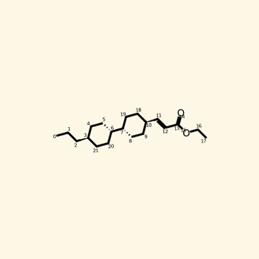 CCC[C@H]1CC[C@H]([C@H]2CC[C@H](C=CC(=O)OCC)CC2)CC1